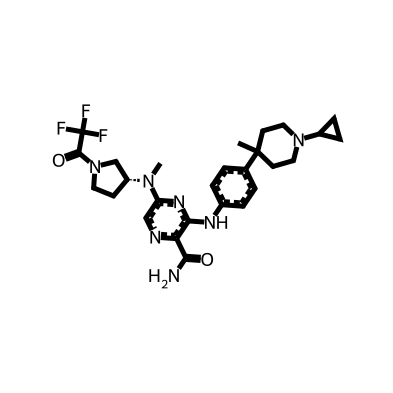 CN(c1cnc(C(N)=O)c(Nc2ccc(C3(C)CCN(C4CC4)CC3)cc2)n1)[C@@H]1CCN(C(=O)C(F)(F)F)C1